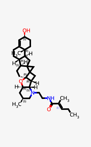 CC/C=C(\C)C(=O)NCCN1C[C@@H](C)C[C@H]2O[C@@]34CC[C@H]5[C@@H]6CCC7=C[C@@H](O)CC[C@]7(C)[C@H]6CC56CC63C[C@@H]4[C@@H]21